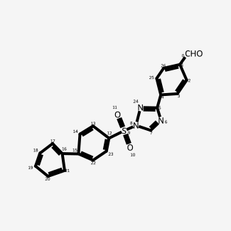 O=Cc1ccc(-c2ncn(S(=O)(=O)c3ccc(-c4ccccc4)cc3)n2)cc1